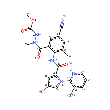 COC(=O)NN(C)C(=O)c1cc(C#N)cc(C)c1NC(=O)c1cc(Br)cn1-c1ncccc1Cl